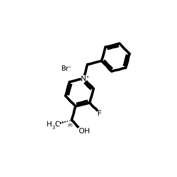 C[C@@H](O)c1cc[n+](Cc2ccccc2)cc1F.[Br-]